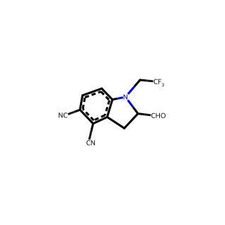 N#Cc1ccc2c(c1C#N)CC(C=O)N2CC(F)(F)F